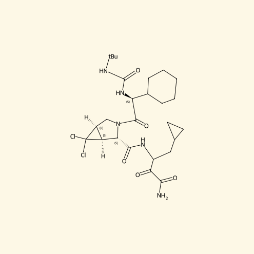 CC(C)(C)NC(=O)N[C@H](C(=O)N1C[C@H]2[C@@H]([C@H]1C(=O)NC(CC1CC1)C(=O)C(N)=O)C2(Cl)Cl)C1CCCCC1